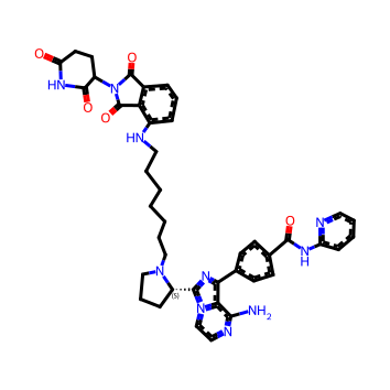 Nc1nccn2c([C@@H]3CCCN3CCCCCCCNc3cccc4c3C(=O)N(C3CCC(=O)NC3=O)C4=O)nc(-c3ccc(C(=O)Nc4ccccn4)cc3)c12